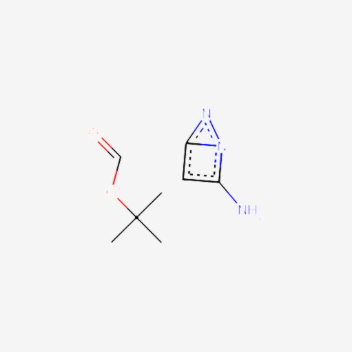 CC(C)(C)OC=O.Nc1cc2nn1-2